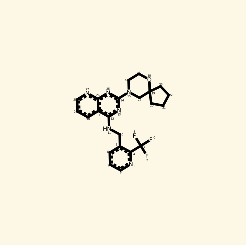 FC(F)(F)c1ncccc1CNc1nc(N2CCOC3(CCCC3)C2)nc2ncccc12